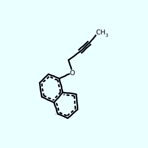 CC#CCOc1cccc2[c]cccc12